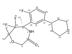 CC1(C)OCC(=O)N[C@](C)(c2cc(C3CCOCC3)ccc2F)C1(F)F